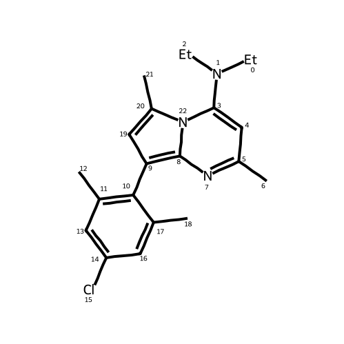 CCN(CC)c1cc(C)nc2c(-c3c(C)cc(Cl)cc3C)cc(C)n12